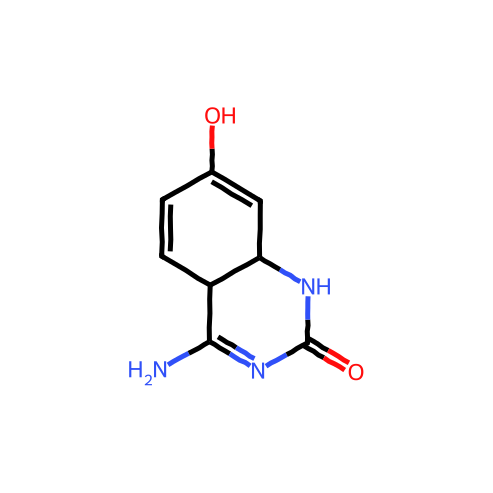 NC1=NC(=O)NC2C=C(O)C=CC12